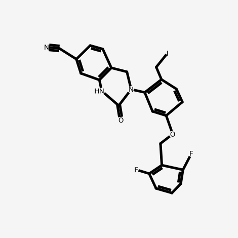 N#Cc1ccc2c(c1)NC(=O)N(c1cc(OCc3c(F)cccc3F)ccc1CI)C2